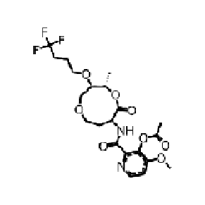 COc1ccnc(C(=O)N[C@H]2CCOC[C@@H](OCCCC(F)(F)F)[C@H](C)OC2=O)c1OC(C)=O